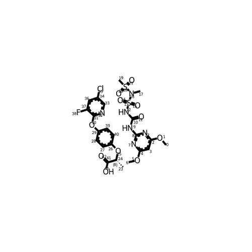 COc1cc(OC)nc(NC(=O)NS(=O)(=O)N(C)S(C)(=O)=O)n1.C[C@@H](Oc1ccc(Oc2ncc(Cl)cc2F)cc1)C(=O)O